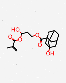 C=C(C)C(=O)OC(O)CCOC(=O)C12CC3CC(CC(O)(C3)C1)C2